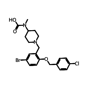 CN(C(=O)O)C1CCN(Cc2cc(Br)ccc2OCc2ccc(Cl)cc2)CC1